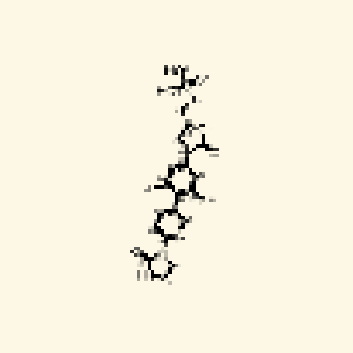 O=C1O[C@@H](COP(=O)(O)O)CN1c1cc(F)c(-c2ccc(N3CCNC3=O)nc2)c(F)c1